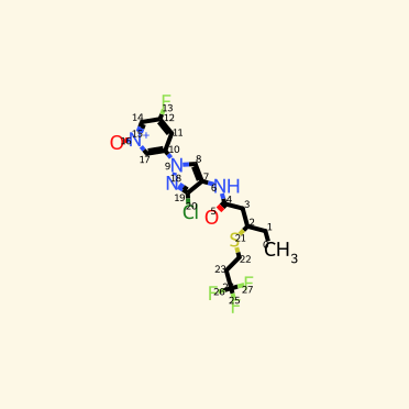 CCC(CC(=O)Nc1cn(-c2cc(F)c[n+]([O-])c2)nc1Cl)SCCC(F)(F)F